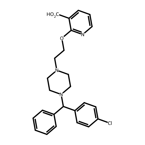 O=C(O)c1cccnc1OCCN1CCN(C(c2ccccc2)c2ccc(Cl)cc2)CC1